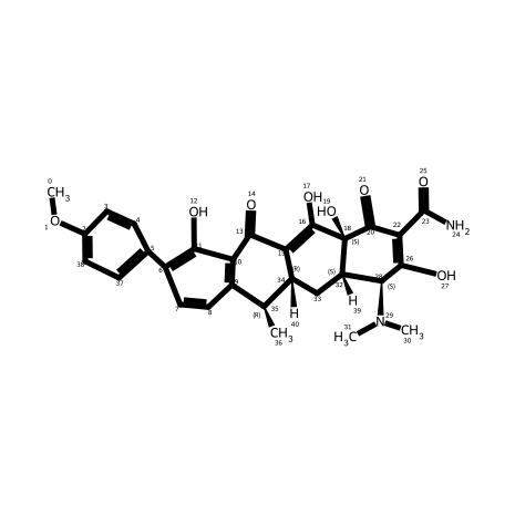 COc1ccc(-c2ccc3c(c2O)C(=O)C2=C(O)[C@]4(O)C(=O)C(C(N)=O)=C(O)[C@@H](N(C)C)[C@@H]4C[C@@H]2[C@H]3C)cc1